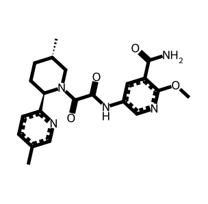 COc1ncc(NC(=O)C(=O)N2C[C@@H](C)CC[C@@H]2c2ccc(C)cn2)cc1C(N)=O